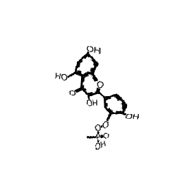 CP(=O)(O)OOc1cc(-c2oc3cc(O)cc(O)c3c(=O)c2O)ccc1O